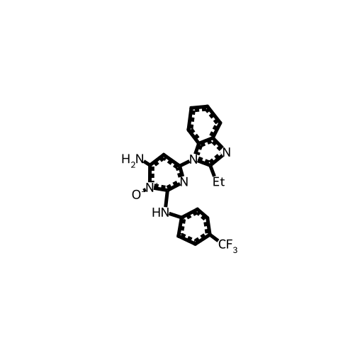 CCc1nc2ccccc2n1-c1cc(N)[n+]([O-])c(Nc2ccc(C(F)(F)F)cc2)n1